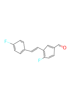 O=Cc1ccc(F)c(/C=C/c2ccc(F)cc2)c1